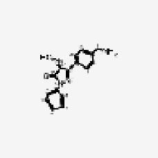 NCc1ccc(C2=NN(c3ccccc3)C(=O)C2=NO)cc1